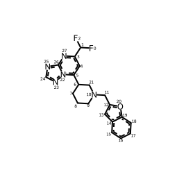 FC(F)c1cc(C2CCCN(Cc3cc4ccccc4o3)C2)n2ncnc2n1